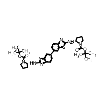 CC(C)(C)OC(=O)N1CCC[C@H]1CNc1nc2ccc(-c3ccc4nc(NC[C@@H]5CCCN5C(=O)OC(C)(C)C)sc4c3)cc2s1